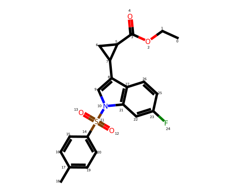 CCOC(=O)C1CC1c1cn(S(=O)(=O)c2ccc(C)cc2)c2cc(F)ccc12